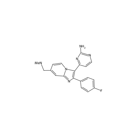 CNCc1ccn2c(-c3ccnc(N)n3)c(-c3ccc(F)cc3)nc2c1